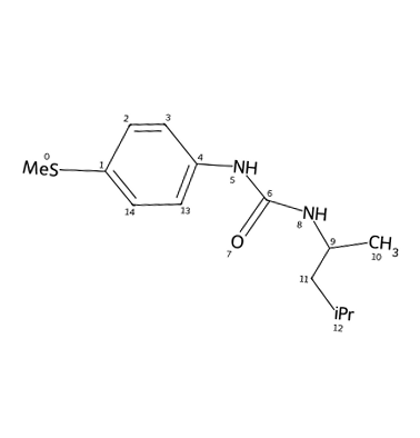 CSc1ccc(NC(=O)NC(C)CC(C)C)cc1